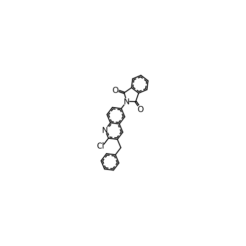 O=C1c2ccccc2C(=O)N1c1ccc2nc(Cl)c(Cc3ccccc3)cc2c1